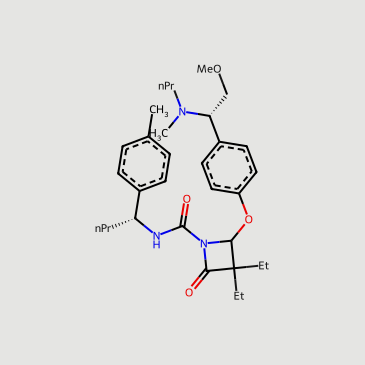 CCC[C@@H](NC(=O)N1C(=O)C(CC)(CC)C1Oc1ccc([C@@H](COC)N(C)CCC)cc1)c1ccc(C)cc1